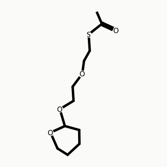 CC(=O)SCCOCCOC1CCCCO1